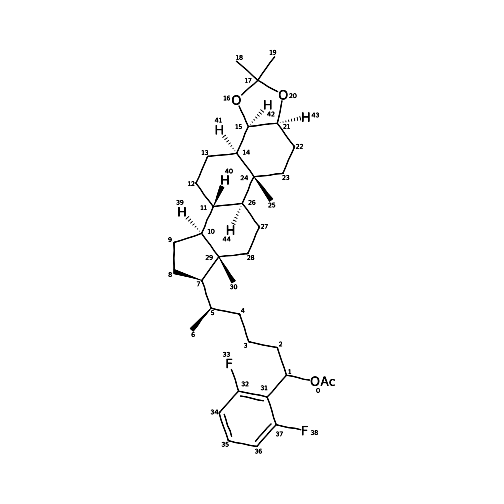 CC(=O)OC(CCC[C@@H](C)[C@H]1CC[C@H]2[C@@H]3CC[C@H]4[C@H]5OC(C)(C)O[C@H]5CC[C@]4(C)[C@H]3CC[C@]12C)c1c(F)cccc1F